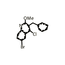 COc1nc2ccc(Br)cc2c(Cl)c1Cc1ccccc1